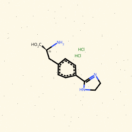 Cl.Cl.N[C@@H](Cc1ccc(C2=NCCN2)cc1)C(=O)O